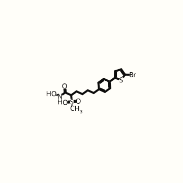 CS(=O)(=O)C(CCCCc1ccc(-c2ccc(Br)s2)cc1)C(=O)NO